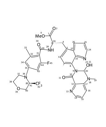 COC(=O)[C@H](Cc1ccc(N2C(=O)c3ncccc3N(C)C2O)c2ncccc12)NC(=O)c1c(C)cc(N2CCOC[C@@H]2C(F)(F)F)cc1F